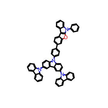 c1ccc(-n2c3ccccc3c3c4ccc(-c5ccc(-n6c7ccc(-n8c9ccccc9c9ccccc98)cc7c7cc(-n8c9ccccc9c9ccccc98)ccc76)cc5)cc4oc32)cc1